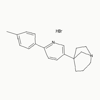 Br.Cc1ccc(-c2ccc(C34CCCN(CC3)C4)cn2)cc1